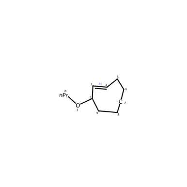 CCCOC1/C=C/CCCCC1